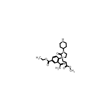 CCOC(=O)c1ccc([N+]2(CCC(=O)OC)CCN(C3CCNCC3)C2=O)c(C(=N)N)c1